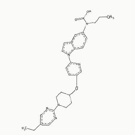 CCCN(C(=O)O)c1ccc2c(ccn2-c2ccc(OC3CCN(c4ncc(CC)cn4)CC3)cn2)c1